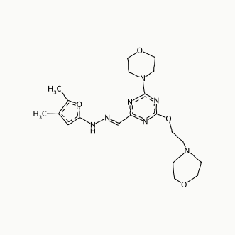 Cc1cc(NN=Cc2nc(OCCN3CCOCC3)nc(N3CCOCC3)n2)oc1C